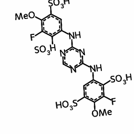 COc1c(S(=O)(=O)O)cc(Nc2ncnc(Nc3cc(S(=O)(=O)O)c(OC)c(F)c3S(=O)(=O)O)n2)c(S(=O)(=O)O)c1F